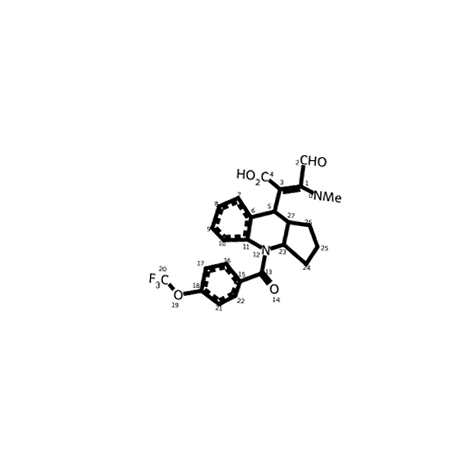 CN/C(C=O)=C(/C(=O)O)C1c2ccccc2N(C(=O)c2ccc(OC(F)(F)F)cc2)C2CCCC12